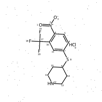 Cl.O=[N+]([O-])c1ccc(SC2CCNCC2)cc1C(F)(F)F